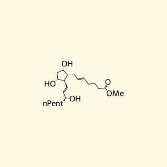 CCCCC[C@H](O)C=C[C@@H]1[C@@H](CC=CCCCC(=O)OC)[C@@H](O)C[C@H]1O